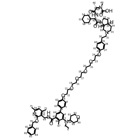 CCN(c1cc(-c2ccc(OCCOCCOCCOCCOCCOc3ccc(CCN4CC[C@@H]5CCN(C(=O)[C@@H](NC(=O)[C@H](C)N(C)C(=O)O)C6CCCCC6)[C@@H]5C4)cc3)cc2)cc(C(=O)NCc2c(C)cc(C)nc2OCc2ccccc2)c1C)C1CCOCC1